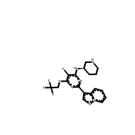 Fc1c(N[C@@H]2CCCNC2)nc(-c2cnn3ccccc23)nc1OCC(F)(F)F